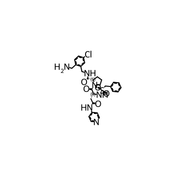 NCc1ccc(Cl)cc1CNC(=O)[C@@H]1CCCN1C(=O)[C@@H](CC(=O)Nc1ccncc1)NS(=O)(=O)Cc1ccccc1